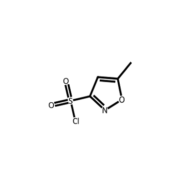 Cc1cc(S(=O)(=O)Cl)no1